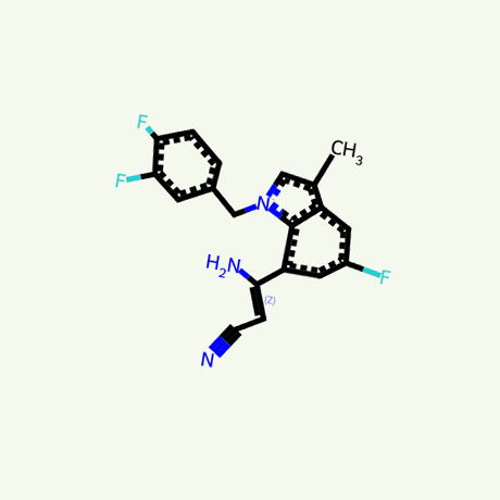 Cc1cn(Cc2ccc(F)c(F)c2)c2c(/C(N)=C/C#N)cc(F)cc12